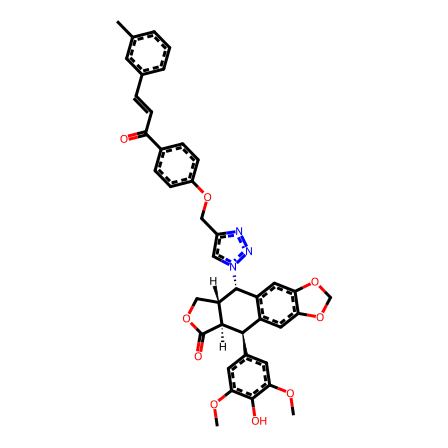 COc1cc([C@@H]2c3cc4c(cc3[C@@H](n3cc(COc5ccc(C(=O)/C=C/c6cccc(C)c6)cc5)nn3)[C@H]3COC(=O)[C@H]23)OCO4)cc(OC)c1O